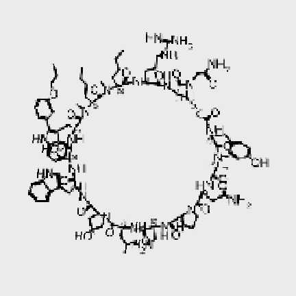 CCCC[C@H]1C(=O)N(C)[C@@H](CCCC)C(=O)NC(CCCNC(=N)N)C(=O)N[C@H](C(=O)NCC(N)=O)CSCC(=O)N[C@@H](Cc2ccc(O)cc2)C(=O)N(C)[C@@H](C)C(=O)N[C@@H](CC(N)=O)C(=O)N2CCC[C@H]2C(=O)N[C@@H](CN)C(=O)N[C@@H](CC(C)C)C(=O)N2C[C@H](O)CC2C(=O)N[C@@H](Cc2c[nH]c3ccccc23)C(=O)N[C@@H](CO)C(=O)N[C@@H](Cc2c(-c3cccc(OCCC)c3)[nH]c3ccccc23)C(=O)N1C